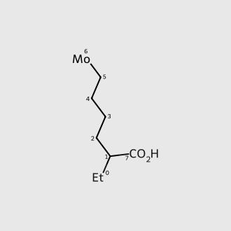 CCC(CCC[CH2][Mo])C(=O)O